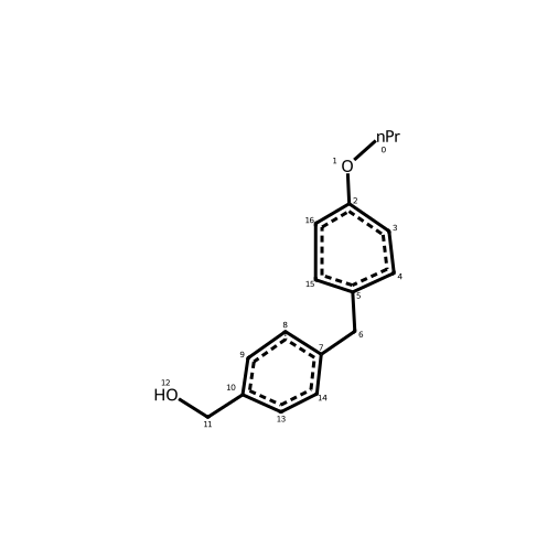 CCCOc1ccc(Cc2[c]cc(CO)cc2)cc1